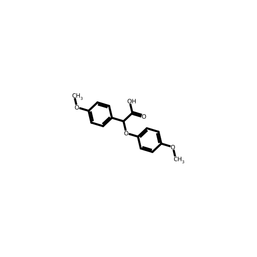 COc1ccc(OC(C(=O)O)c2ccc(OC)cc2)cc1